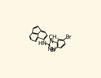 CN(C(=N)Nc1ccc2c3c(cccc13)C=C2)c1cc(Br)ccc1Br